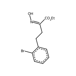 CCOC(=O)C(CCc1ccccc1Br)=NO